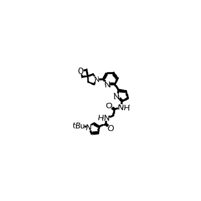 CC(C)(C)n1ccc(C(=O)NCC(=O)NC2=NC(c3cccc(N4CCC5(COC5)C4)n3)=CC2)c1